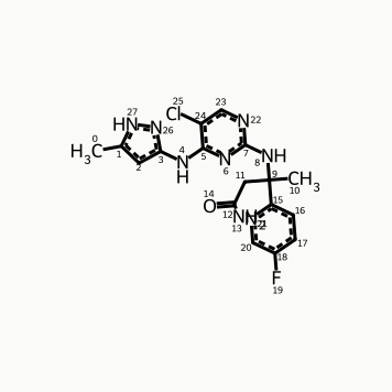 Cc1cc(Nc2nc(NC(C)(CC(N)=O)c3ccc(F)cn3)ncc2Cl)n[nH]1